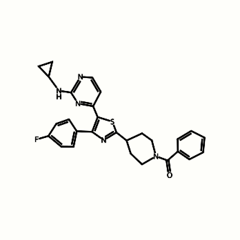 O=C(c1ccccc1)N1CCC(c2nc(-c3ccc(F)cc3)c(-c3ccnc(NC4CC4)n3)s2)CC1